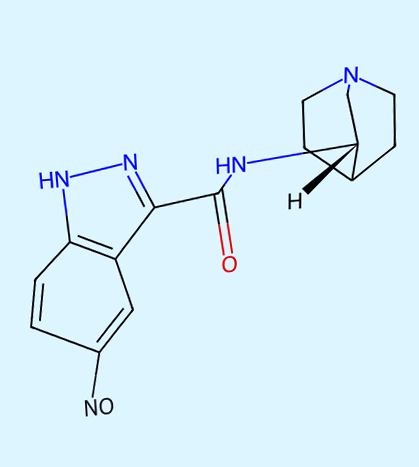 O=Nc1ccc2[nH]nc(C(=O)N[C@@H]3CN4CCC3CC4)c2c1